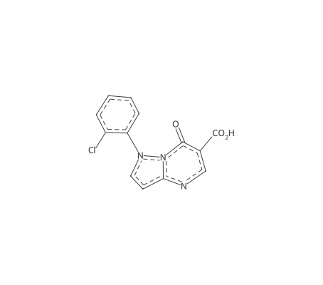 O=C(O)c1cnc2ccn(-c3ccccc3Cl)n2c1=O